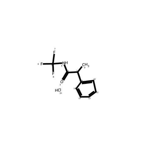 CC(C(=O)NC(F)(F)F)c1ccccc1.Cl